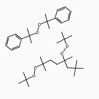 CC(C)(C)CC(C)(CCC(C)(C)OOC(C)(C)C)OOC(C)(C)C.CC(C)(OOC(C)(C)c1ccccc1)c1ccccc1